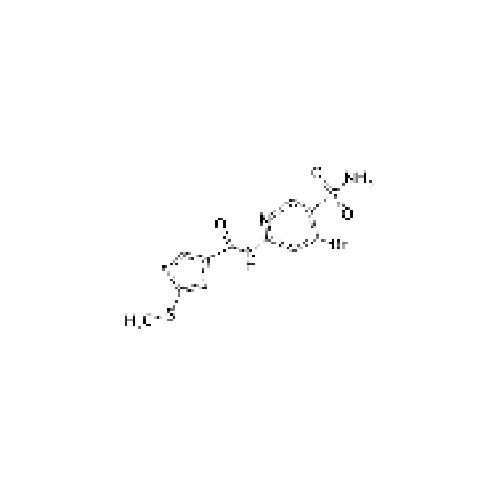 CSc1cc(C(=O)Nc2cc(Br)c(S(N)(=O)=O)cn2)cs1